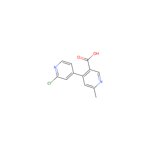 Cc1cc(-c2ccnc(Cl)c2)c(C(=O)O)cn1